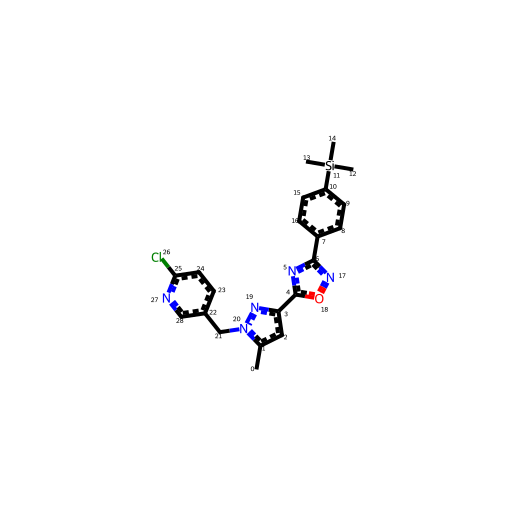 Cc1cc(-c2nc(-c3ccc([Si](C)(C)C)cc3)no2)nn1Cc1ccc(Cl)nc1